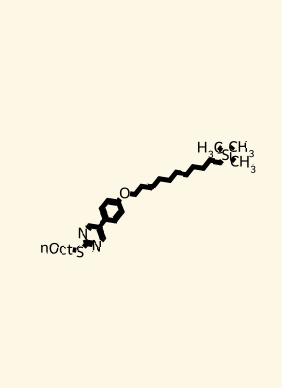 CCCCCCCCSc1ncc(-c2ccc(OCCCCCCCCCCC[Si](C)(C)C)cc2)cn1